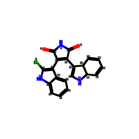 O=C1NC(=O)C(c2c(Cl)[nH]c3ccccc23)=C1C1=CNC2C=CC=CC12